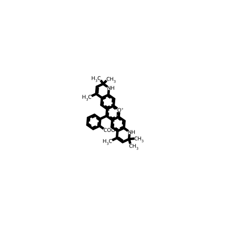 CC1=CC(C)(C)Nc2cc3[o+]c4cc5c(cc4c(-c4ccccc4C(=O)[O-])c3cc21)C(C)=CC(C)(C)N5